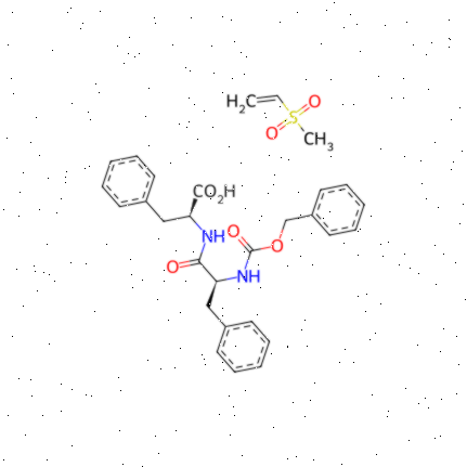 C=CS(C)(=O)=O.O=C(N[C@@H](Cc1ccccc1)C(=O)N[C@@H](Cc1ccccc1)C(=O)O)OCc1ccccc1